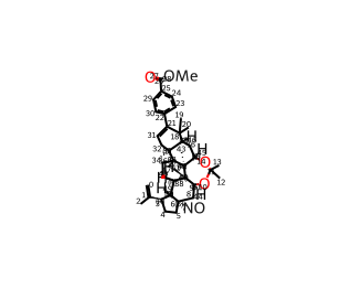 C=C(C)[C@@H]1CC[C@]2(N=O)C[C@@H]3OC(C)(C)O[C@H]4C[C@H]5C(C)(C)C(c6ccc(C(=O)OC)cc6)=CC[C@]5(C)[C@H]5CC[C@H]([C@@H]12)[C@]3(C)[C@]45C